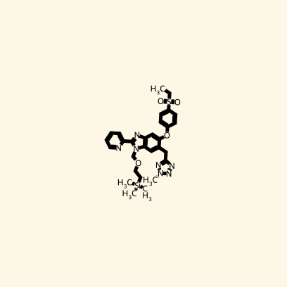 CCS(=O)(=O)c1ccc(Oc2cc3nc(-c4ccccn4)n(COCC[Si](C)(C)C)c3cc2Cc2nnn(C)n2)cc1